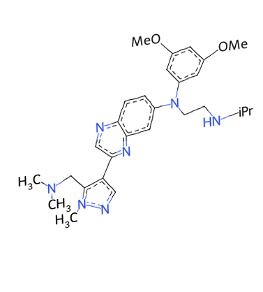 COc1cc(OC)cc(N(CCNC(C)C)c2ccc3ncc(-c4cnn(C)c4CN(C)C)nc3c2)c1